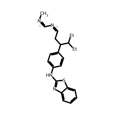 CCC(CC)C(C/C=N\C=N/C)c1ccc(Nc2nc3ccccc3s2)cc1